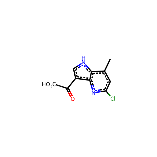 Cc1cc(Cl)nc2c(C(=O)C(=O)O)c[nH]c12